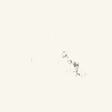 CCCCCCCCCCCCCCCCC(=O)OC[C@H](CSC[C@@H](N)C(=O)Nc1cn(C[C@H](O)C2OC(O)[C@@H](O)[C@@H]2O)nn1)OC(=O)CCCCCCCCCCCCCCCC